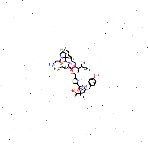 CCCCCCN(C(=O)[C@H](CCC)NC(=O)[C@@]1(C)CCCN1C(=O)CN)[C@H](C[C@@H](OC(C)=O)c1nc(C(=O)N[C@@H](Cc2ccc(O)cc2)CC(C)(C)C(=O)O)cs1)C(C)C